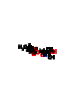 C#CC(C)(O)c1cc(COS(=O)(=O)c2ccc(C)cc2)on1